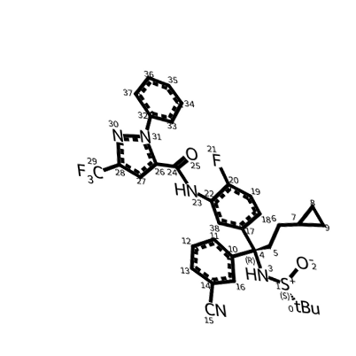 CC(C)(C)[S@@+]([O-])N[C@](CCC1CC1)(c1cccc(C#N)c1)c1ccc(F)c(NC(=O)c2cc(C(F)(F)F)nn2-c2c[c]ccc2)c1